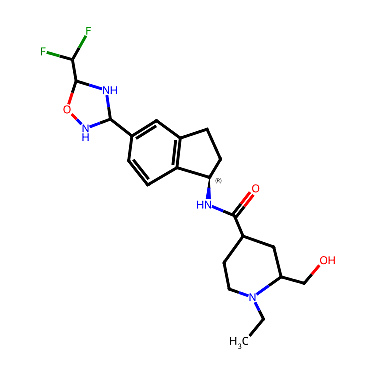 CCN1CCC(C(=O)N[C@@H]2CCc3cc(C4NOC(C(F)F)N4)ccc32)CC1CO